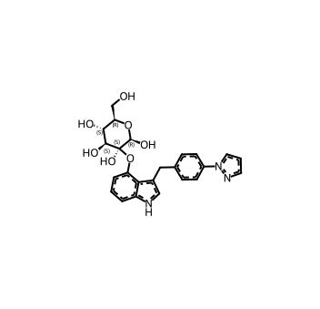 OC[C@H]1O[C@@H](O)[C@@](O)(Oc2cccc3[nH]cc(Cc4ccc(-n5cccn5)cc4)c23)[C@@H](O)[C@@H]1O